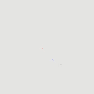 CC1=C[CH]CC=C1OC1CN(C(C)C)C1